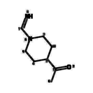 CC(=O)C1CCN(C=N)CC1